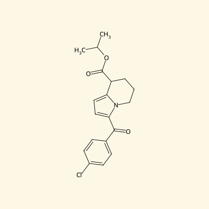 CC(C)OC(=O)C1CCCn2c(C(=O)c3ccc(Cl)cc3)ccc21